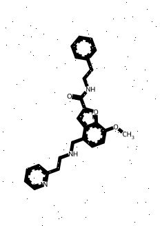 COc1ccc(CNCCc2ccccn2)c2cc(C(=O)NCCc3ccccc3)oc12